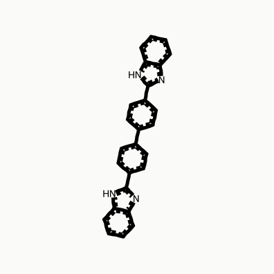 c1ccc2[nH]c(-c3ccc(-c4ccc(-c5nc6ccccc6[nH]5)cc4)cc3)nc2c1